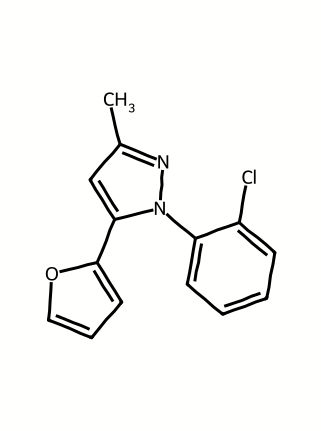 Cc1cc(-c2ccco2)n(-c2ccccc2Cl)n1